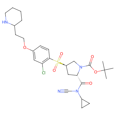 CC(C)(C)OC(=O)N1C[C@H](S(=O)(=O)c2ccc(OCCC3CCCCN3)cc2Cl)C[C@H]1C(=O)N(C#N)C1CC1